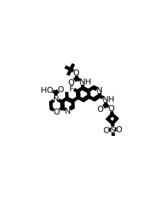 Cc1c(-c2cc3cc(NC(=O)OC4CC(S(C)(=O)=O)C4)ncc3c(NC(=O)OC(C)(C)C)c2F)cnc2c1N(C(=O)O)CCO2